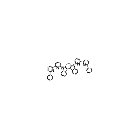 c1ccc(-c2cccc(-c3cccc(-n4c5c(c6ccccc64)-c4c(n(-c6cccc(-c7cccc(-c8ccccc8)n7)n6)c6ccccc46)CC5)n3)n2)cc1